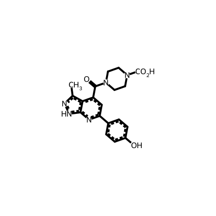 Cc1n[nH]c2nc(-c3ccc(O)cc3)cc(C(=O)N3CCN(C(=O)O)CC3)c12